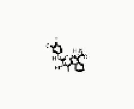 CCN(C(=O)Nc1ccc(F)c(Cl)c1)C(C)c1cnc(C(N)=O)c2ccccc12